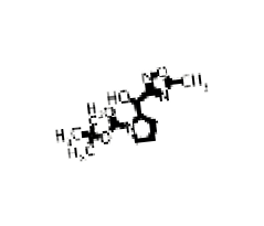 Cc1nc(C(O)C2CCCN2C(=O)OC(C)(C)C)no1